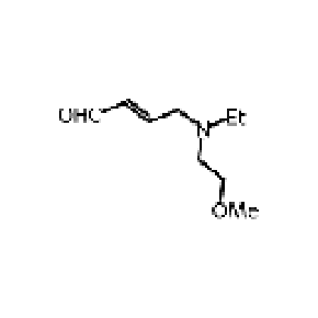 CCN(C/C=C/C=O)CCOC